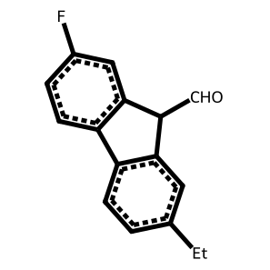 CCc1ccc2c(c1)C(C=O)c1cc(F)ccc1-2